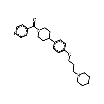 O=C(c1ccncc1)N1CCC(c2ccc(OCCCN3CCCCC3)cc2)CC1